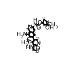 Cc1c(-c2cc3cc(NC(=O)OC4CCC(C)(O)C4)ncc3c(N)c2F)cnc2c1NCCO2